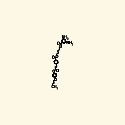 CCCCOc1ccc(OC(=O)/C=C/c2ccc(C(=O)OCCCCCOC(=O)c3cc(N)cc(N)c3)cc2)cc1